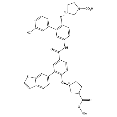 CC(C)(C)OC(=O)N1CC[C@H](Oc2ccc(C(=O)Nc3ccc(O[C@@H]4CCN(C(=O)O)C4)c(-c4cccc(C#N)c4)c3)cc2-c2ccc3ccsc3c2)C1